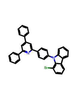 Brc1cccc2c3ccccc3n(-c3ccc(-c4cc(-c5ccccc5)cc(-c5ccccc5)n4)cc3)c12